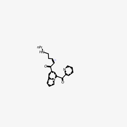 CCCNCC/C=C\C(=O)c1cc(C(=O)c2ccccn2)n2cccc2c1